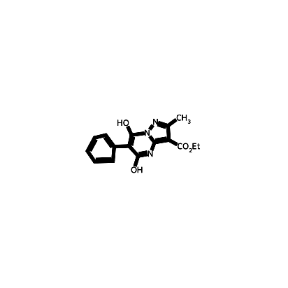 CCOC(=O)c1c(C)nn2c(O)c(-c3ccccc3)c(O)nc12